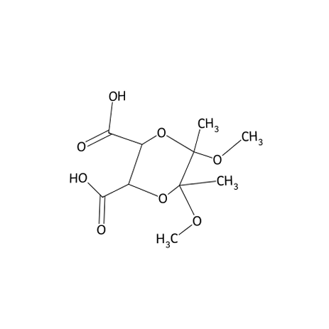 COC1(C)OC(C(=O)O)C(C(=O)O)OC1(C)OC